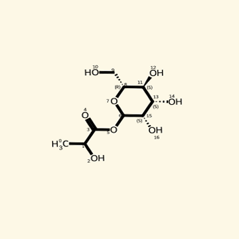 CC(O)C(=O)OC1O[C@H](CO)[C@@H](O)[C@H](O)[C@@H]1O